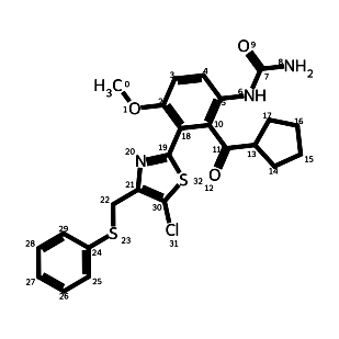 COc1ccc(NC(N)=O)c(C(=O)C2CCCC2)c1-c1nc(CSc2ccccc2)c(Cl)s1